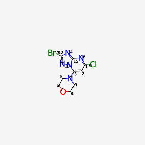 Clc1cc(N2CCOCC2)n2nc(Br)nc2n1